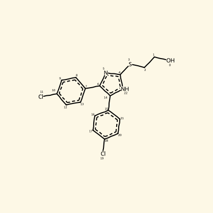 OCCSc1nc(-c2ccc(Cl)cc2)c(-c2ccc(Cl)cc2)[nH]1